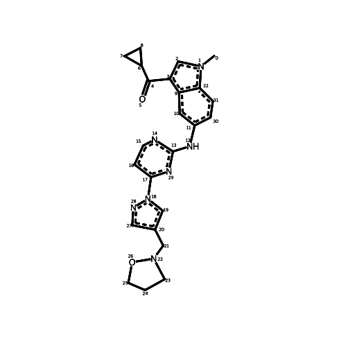 Cn1cc(C(=O)C2CC2)c2cc(Nc3nccc(-n4cc(CN5CCCO5)cn4)n3)ccc21